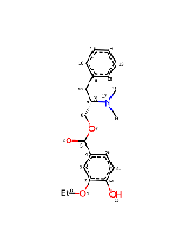 CCOc1cc(C(=O)OC[C@H](Cc2ccccc2)N(C)C)ccc1O